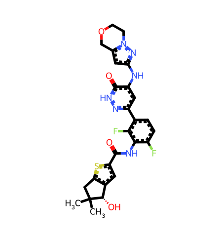 CC1(C)Cc2sc(C(=O)Nc3c(F)ccc(-c4cc(Nc5cc6n(n5)CCOC6)c(=O)[nH]n4)c3F)cc2[C@@H]1O